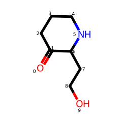 O=C1CCCNC1CCO